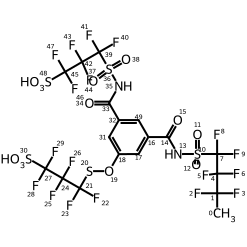 CC(F)(F)C(F)(F)C(F)(F)S(=O)(=O)NC(=O)c1cc(OSC(F)(F)C(F)(F)C(F)(F)S(=O)(=O)O)cc(C(=O)NS(=O)(=O)C(F)(F)C(F)(F)C(F)(F)S(=O)(=O)O)c1